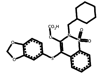 O=C(O)OC1=C(Sc2ccc3c(c2)OCO3)c2ccccc2S(=O)(=O)N1CC1CCCCC1